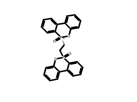 O=P1(CC[P@@]2(=O)Oc3ccccc3-c3ccccc32)Oc2ccccc2-c2ccccc21